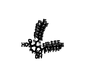 O=C(O)c1ccc(C(=O)O)c(CCC(F)(F)C(F)(F)C(F)(F)C(F)(F)C(F)(F)C(F)(F)F)c1CCC(F)(F)C(F)(F)C(F)(F)C(F)(F)C(F)(F)C(F)(F)F